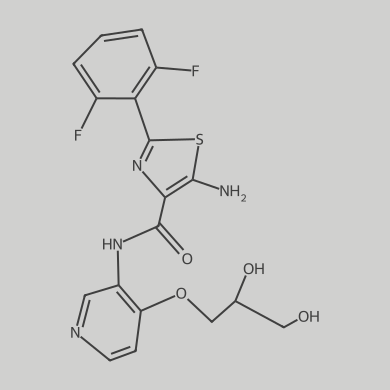 Nc1sc(-c2c(F)cccc2F)nc1C(=O)Nc1cnccc1OCC(O)CO